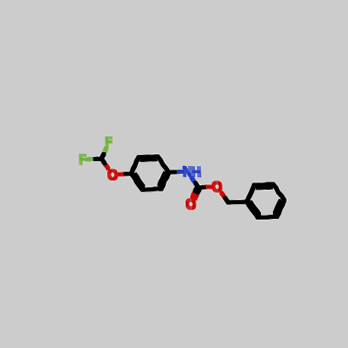 O=C(Nc1ccc(OC(F)F)cc1)OCc1ccccc1